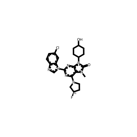 Cn1c(=O)n(C2CCC(O)CC2)c2nc(-n3cnc4ccc(Cl)cc43)nc(N3CC[C@@H](F)C3)c21